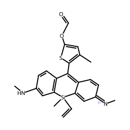 C=C[Si]1(C)C2=C/C(=N/C)C=CC2=C(c2sc(OC=O)cc2C)c2ccc(NC)cc21